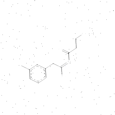 CC(=O)/C(Cc1cccc(C)c1)=N/C(=O)CCC(=O)O